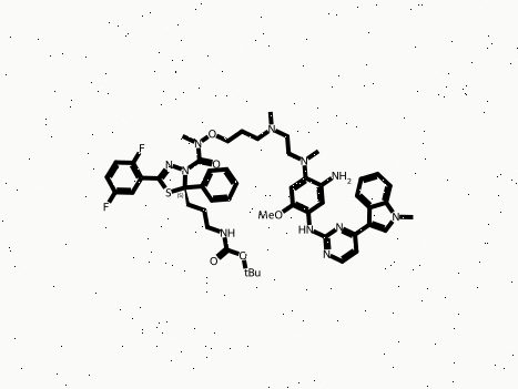 COc1cc(N(C)CCN(C)CCCON(C)C(=O)N2N=C(c3cc(F)ccc3F)S[C@@]2(CCCNC(=O)OC(C)(C)C)c2ccccc2)c(N)cc1Nc1nccc(-c2cn(C)c3ccccc23)n1